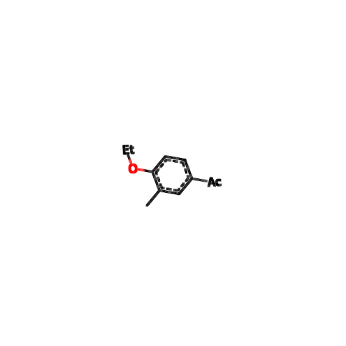 CCOc1ccc(C(C)=O)cc1C